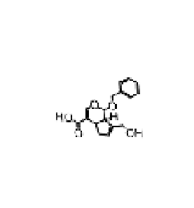 O=C(O)C1=COC(OCc2ccccc2)[C@@H]2C(CO)=CCC12